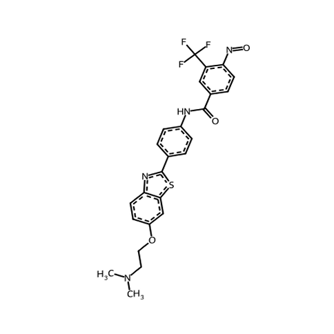 CN(C)CCOc1ccc2nc(-c3ccc(NC(=O)c4ccc(N=O)c(C(F)(F)F)c4)cc3)sc2c1